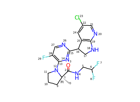 C[C@]1(C(=O)NCC(F)F)CCCN1c1nc(C2CNc3ncc(Cl)cc32)ncc1F